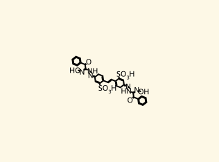 O=C(C(=NO)NN=C1C=C(S(=O)(=O)O)C(C=CC2=CCC(=NNC(=NO)C(=O)c3ccccc3)C=C2S(=O)(=O)O)=CC1)c1ccccc1